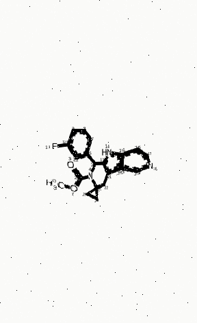 COC(=O)N1C(c2cccc(F)c2)c2[nH]c3ccncc3c2CC12CC2